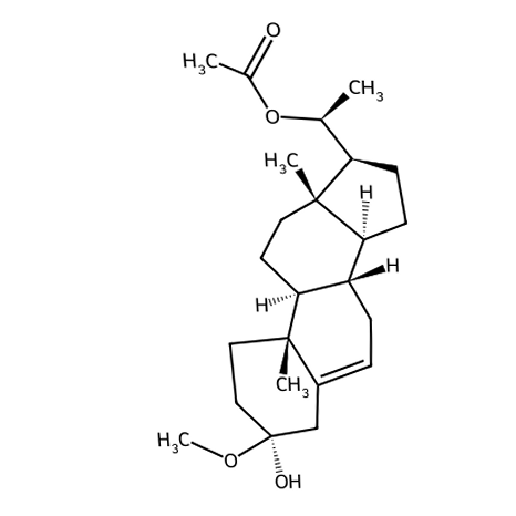 CO[C@@]1(O)CC[C@@]2(C)C(=CC[C@H]3[C@@H]4CC[C@H]([C@H](C)OC(C)=O)[C@@]4(C)CC[C@@H]32)C1